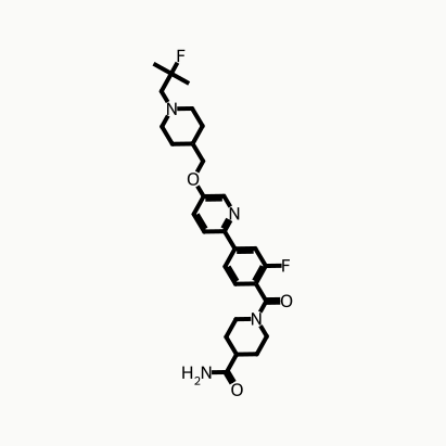 CC(C)(F)CN1CCC(COc2ccc(-c3ccc(C(=O)N4CCC(C(N)=O)CC4)c(F)c3)nc2)CC1